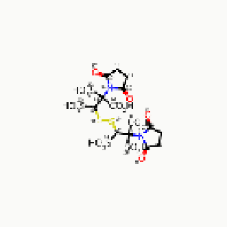 O=C1CCC(=O)N1C(C(=O)O)(C(SSC(C(C(=O)O)(N1C(=O)CCC1=O)S(=O)(=O)O)S(=O)(=O)O)S(=O)(=O)O)S(=O)(=O)O